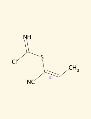 C/C=C(/C#N)SC(=N)Cl